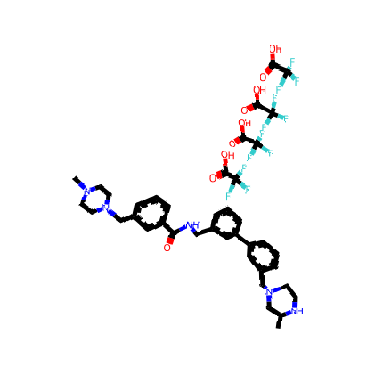 CC1CN(Cc2cccc(-c3cccc(CNC(=O)c4cccc(CN5CCN(C)CC5)c4)c3)c2)CCN1.O=C(O)C(F)(F)F.O=C(O)C(F)(F)F.O=C(O)C(F)(F)F.O=C(O)C(F)(F)F